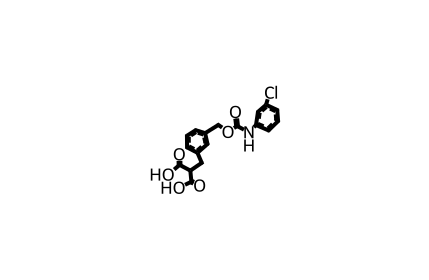 O=C(Nc1cccc(Cl)c1)OCc1cccc(CC(C(=O)O)C(=O)O)c1